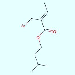 CC=C(CBr)C(=O)OCCC(C)C